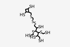 SCSC(C(S)CS)C(SCS)C(S)CSSCSCC1C(S)CC1S